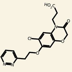 O=C(O)CCN1C(=O)COc2cc(OCCc3cccnn3)c(Cl)cc21